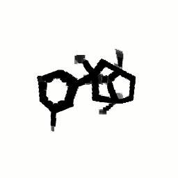 N#CC1(c2cncc(I)c2)C[C@H]2CC[C@@H](C1)N2C(=O)O